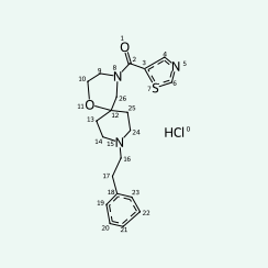 Cl.O=C(c1cncs1)N1CCOC2(CCN(CCc3ccccc3)CC2)C1